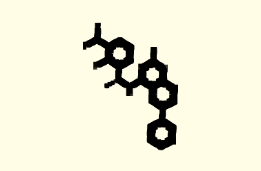 Cc1nc(N[C@H](C)c2cccc(C(F)F)c2F)c2cc(-c3cccnc3)cnc2n1